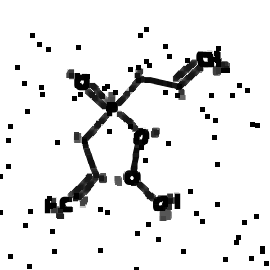 C=CCP(=O)(CC=C)OOO